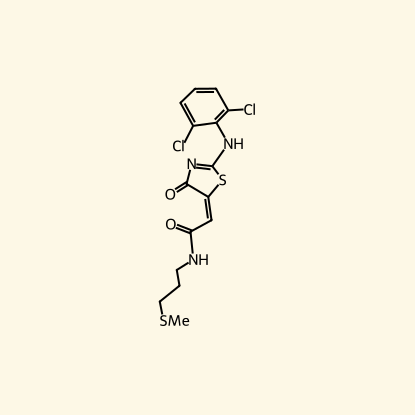 CSCCCNC(=O)C=C1SC(Nc2c(Cl)cccc2Cl)=NC1=O